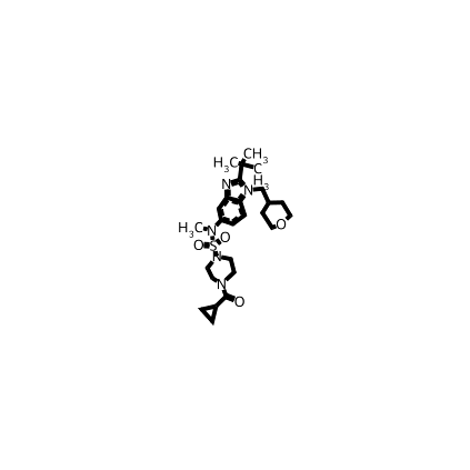 CN(c1ccc2c(c1)nc(C(C)(C)C)n2CC1CCOCC1)S(=O)(=O)N1CCN(C(=O)C2CC2)CC1